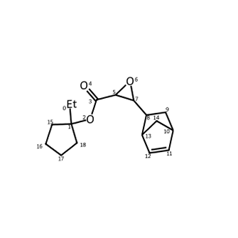 CCC1(OC(=O)C2OC2C2CC3C=CC2C3)CCCC1